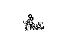 C#C[C@]1(F)[C@H](n2cnc3c(NC4CC4)nc(N)nc32)O[C@@H]2C(O[P@@](=O)(N[C@@H](C)C(=O)OCC(C)(C)C)Oc3cccc4ccccc34)[C@@]21O